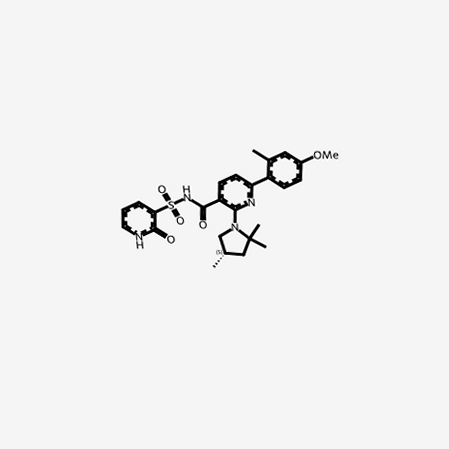 COc1ccc(-c2ccc(C(=O)NS(=O)(=O)c3ccc[nH]c3=O)c(N3C[C@@H](C)CC3(C)C)n2)c(C)c1